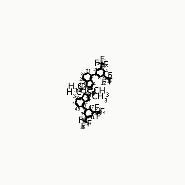 C[Si]1(C)C2=Cc3c(-c4cc(C(F)(F)F)cc(C(F)(F)F)c4)cccc3[CH]2[Hf]([CH3])([CH3])[CH]2C1=Cc1c(-c3cc(C(F)(F)F)cc(C(F)(F)F)c3)cccc12